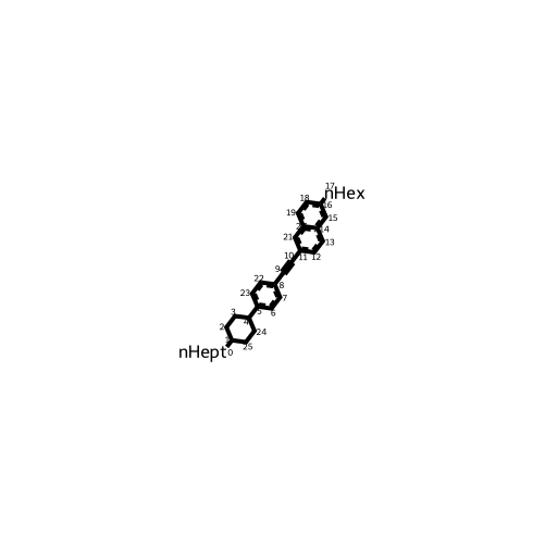 CCCCCCCC1CCC(c2ccc(C#Cc3ccc4cc(CCCCCC)ccc4c3)cc2)CC1